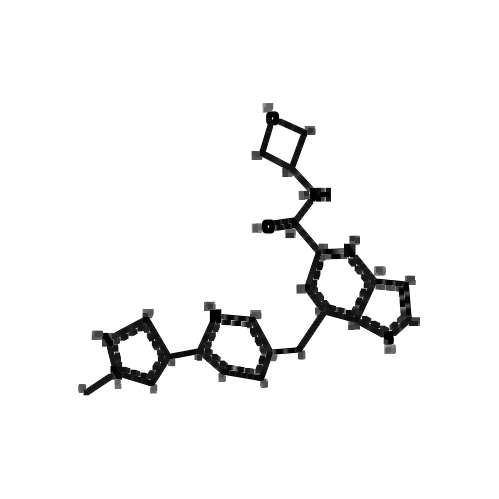 Cn1cc(-c2ccc(Cc3cc(C(=O)NC4COC4)nc4ccsc34)cn2)cn1